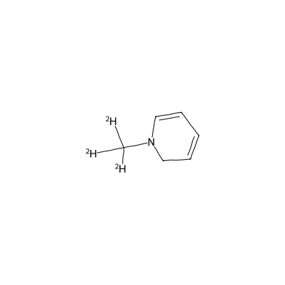 [2H]C([2H])([2H])N1C=CC=CC1